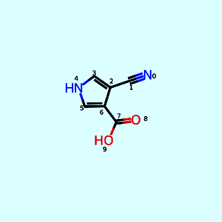 N#Cc1c[nH]cc1C(=O)O